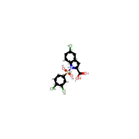 O=C(O)c1cc2cc(Cl)ccc2n1S(=O)(=O)c1ccc(Cl)c(Cl)c1